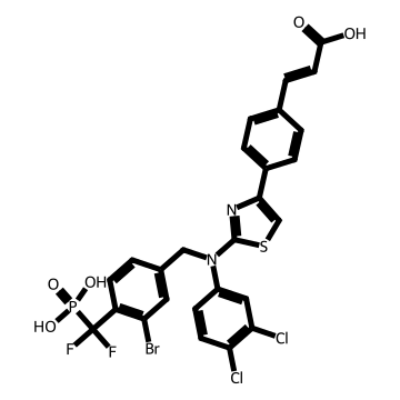 O=C(O)/C=C/c1ccc(-c2csc(N(Cc3ccc(C(F)(F)P(=O)(O)O)c(Br)c3)c3ccc(Cl)c(Cl)c3)n2)cc1